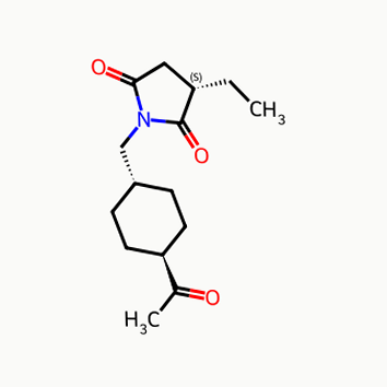 CC[C@H]1CC(=O)N(C[C@H]2CC[C@H](C(C)=O)CC2)C1=O